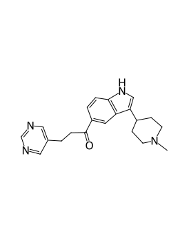 CN1CCC(c2c[nH]c3ccc(C(=O)CCc4cncnc4)cc23)CC1